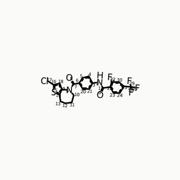 O=C(Nc1ccc(C(=O)N2CCCCc3sc(Cl)cc32)cc1)c1ccc(C(F)(F)F)cc1F